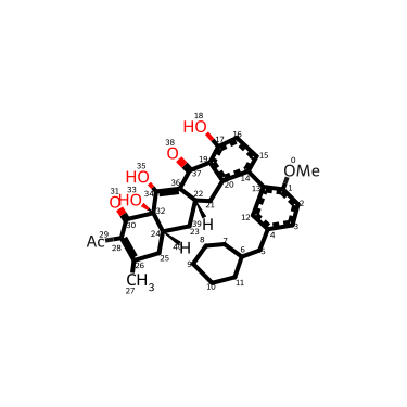 COc1ccc(CC2CCCCC2)cc1-c1ccc(O)c2c1C[C@@H]1C[C@@H]3CC(C)=C(C(C)=O)C(=O)[C@]3(O)C(O)=C1C2=O